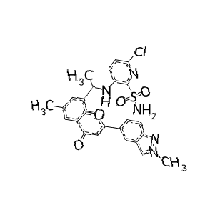 Cc1cc(C(C)Nc2ccc(Cl)nc2S(N)(=O)=O)c2oc(-c3ccc4nn(C)cc4c3)cc(=O)c2c1